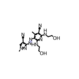 Cc1c(C#N)c(NCCO)nc(NCCO)c1/N=N/c1nn(C)cc1C#N